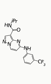 CC(C)NC(=O)c1cnn2ccc(Nc3cccc(C(F)(F)F)c3)nc12